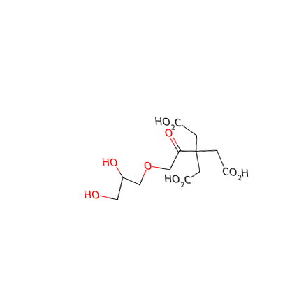 O=C(O)CC(CC(=O)O)(CC(=O)O)C(=O)COCC(O)CO